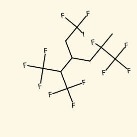 CC(F)(CC(CC(F)(F)I)C(C(F)(F)F)C(F)(F)F)C(F)(F)F